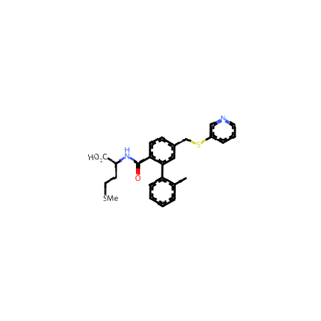 CSCCC(NC(=O)c1ccc(CSc2cccnc2)cc1-c1ccccc1C)C(=O)O